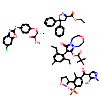 CCOC(=O)C1=NOC(c2ccccc2)(c2ccccc2)C1.CCc1cc(C)cc(CC)c1-c1c(OC(=O)C(C)(C)C)n2n(c1=O)CCOCC2.C[C@@H](Oc1ccc(Oc2nc3ccc(Cl)cc3o2)cc1)C(=O)O.Cc1c(C(=O)c2cnn(C)c2O)ccc(S(C)(=O)=O)c1C1=NOCC1